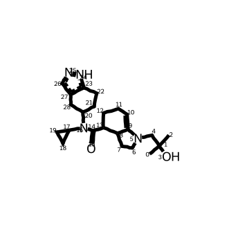 CC(C)(O)CN1CCC2C1=CCCC2C(=O)N(C1CC1)C1CCc2[nH]ncc2C1